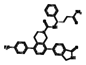 NC(=O)CC[C@H](NC(=O)N1CCc2c(-c3ccc(C(F)(F)F)cc3)ccc(-c3ccc4c(c3)CNC4=O)c2C1)c1ccccc1